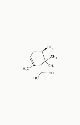 CC1=CC[C@@H](C)C(C)(C)[C@@H]1C(O)O